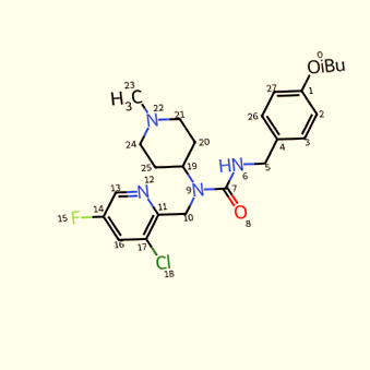 CC(C)COc1ccc(CNC(=O)N(Cc2ncc(F)cc2Cl)C2CCN(C)CC2)cc1